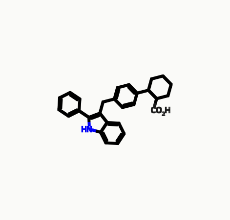 O=C(O)C1CCCCC1c1ccc(Cc2c(-c3ccccc3)[nH]c3ccccc23)cc1